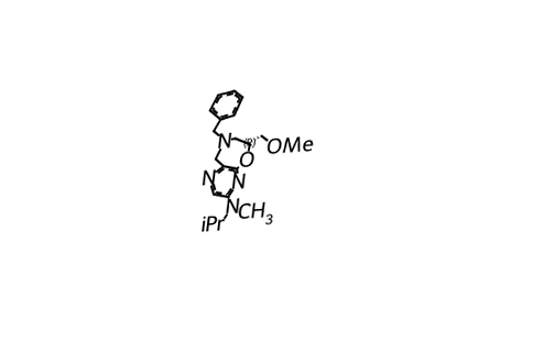 COC[C@H]1CN(Cc2ccccc2)Cc2ncc(N(C)C(C)C)nc2O1